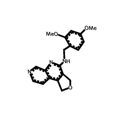 COc1ccc(CNc2nc3cnccc3c3c2COC3)c(OC)c1